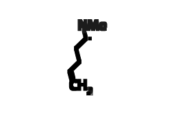 C=CCC[CH]NC